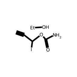 C#CC(I)OC(N)=O.CCO